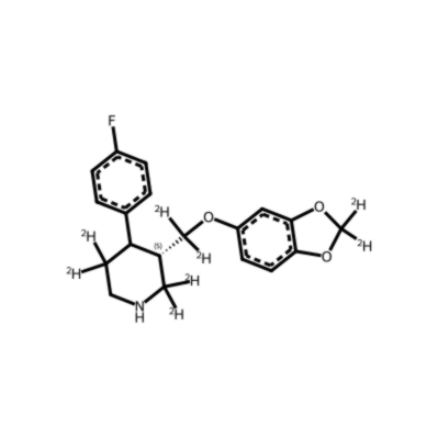 [2H]C1([2H])Oc2ccc(OC([2H])([2H])[C@H]3C(c4ccc(F)cc4)C([2H])([2H])CNC3([2H])[2H])cc2O1